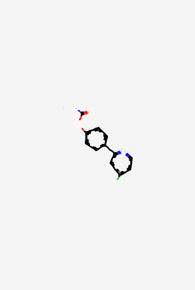 NC(=O)Oc1ccc(-c2cc(Cl)ccn2)cc1